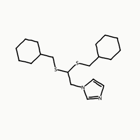 c1cn(CC(SCC2CCCCC2)SCC2CCCCC2)cn1